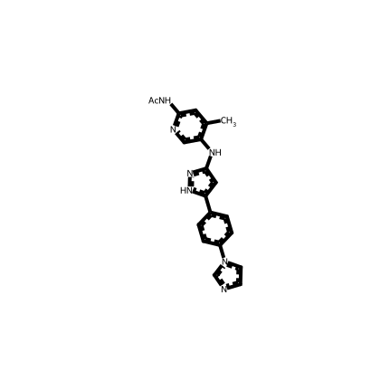 CC(=O)Nc1cc(C)c(Nc2cc(-c3ccc(-n4ccnc4)cc3)[nH]n2)cn1